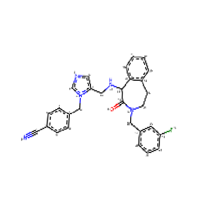 N#Cc1ccc(Cn2cncc2CNC2C(=O)N(Cc3cccc(F)c3)CCc3ccccc32)cc1